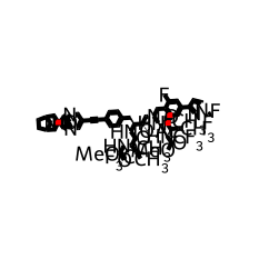 COC(=O)NC(C(=O)N[C@@H](Cc1ccc(C#Cc2cnc(N3CC4CCC(C3)N4C3COC3)nc2)cc1)[C@H](CN(Cc1c(F)cc(-c2ccn(C(F)F)n2)cc1F)NC(=O)[C@@H](NC(=O)OC)C(C)(C)C(F)(F)F)OC(C)=O)C(C)(C)C(F)(F)F